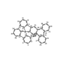 Brc1cccc2c1C1(c3ccccc3-c3cc4c5ccccc5c5ccccc5c4cc31)c1ccccc1-2